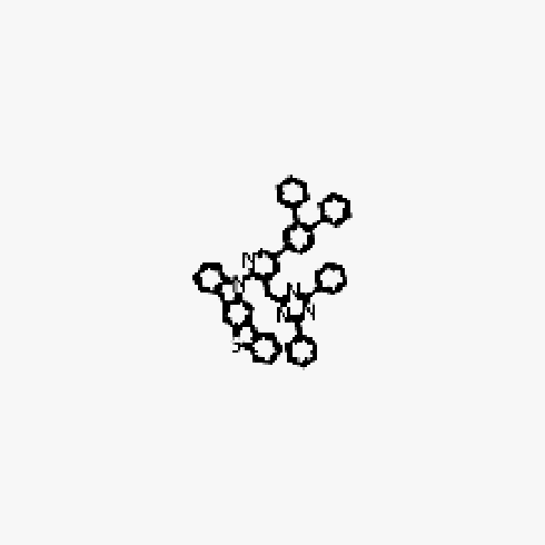 c1ccc(-c2nc(Cc3cc(-c4ccc(-c5ccccc5)c(-c5ccccc5)c4)cnc3-n3c4ccccc4c4cc5sc6ccccc6c5cc43)nc(-c3ccccc3)n2)cc1